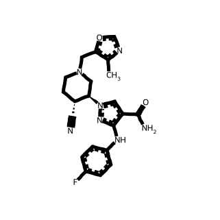 Cc1ncoc1CN1CC[C@@H](C#N)[C@H](n2cc(C(N)=O)c(Nc3ccc(F)cc3)n2)C1